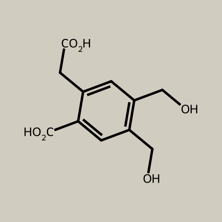 O=C(O)Cc1cc(CO)c(CO)cc1C(=O)O